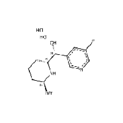 CCC[C@H]1CCC[C@H]([C@H](O)c2cncc(F)c2)N1.Cl.Cl